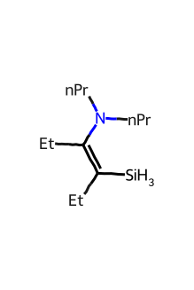 CCCN(CCC)C(CC)=C([SiH3])CC